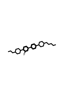 CCCCCC1CCC(c2ccc(-c3ccc(C4CCC(CCC)CC4)c(F)c3)cc2)CC1